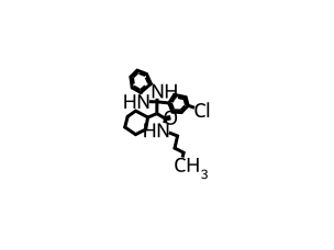 CCCCNC(=O)C(C1CCCCC1)C1(c2ccc(Cl)cc2)Nc2ccccc2N1